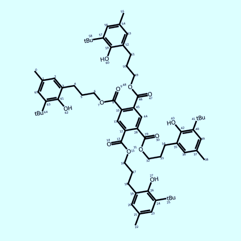 Cc1cc(CCCOC(=O)c2cc(C(=O)OCCCc3cc(C)cc(C(C)(C)C)c3O)c(C(=O)OCCCc3cc(C)cc(C(C)(C)C)c3O)cc2C(=O)OCCCc2cc(C)cc(C(C)(C)C)c2O)c(O)c(C(C)(C)C)c1